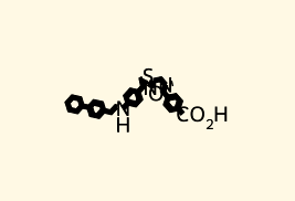 CN(Cc1nc(-c2ccc(NCCc3ccc(C4CCCCC4)cc3)cc2)cs1)C(=O)c1ccc(C(=O)O)cc1